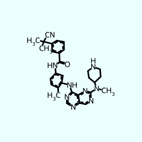 Cc1ccc(NC(=O)c2cccc(C(C)(C)C#N)c2)cc1Nc1ncnc2cnc(N(C)C3CCNCC3)nc12